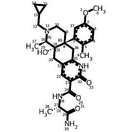 COc1ccc(C)c([C@]23CCN(CC4CC4)[C@H](C)[C@]2(O)Cc2cc(C(=O)N[C@@H](C)C(N)=O)c(=O)[nH]c2C3)c1